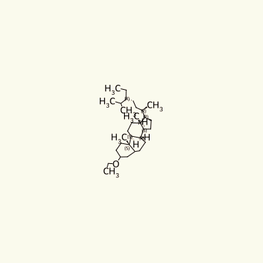 CCOC1CC[C@@]2(C)C(CC[C@H]3[C@@H]4CC[C@H]([C@H](C)CC[C@@H](CC)C(C)C)[C@@]4(C)CC[C@@H]32)C1